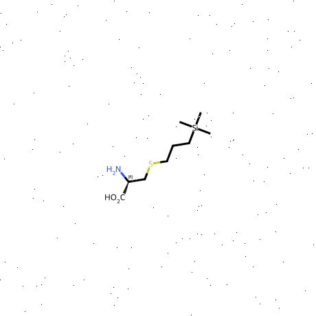 C[Si](C)(C)CCCSC[C@H](N)C(=O)O